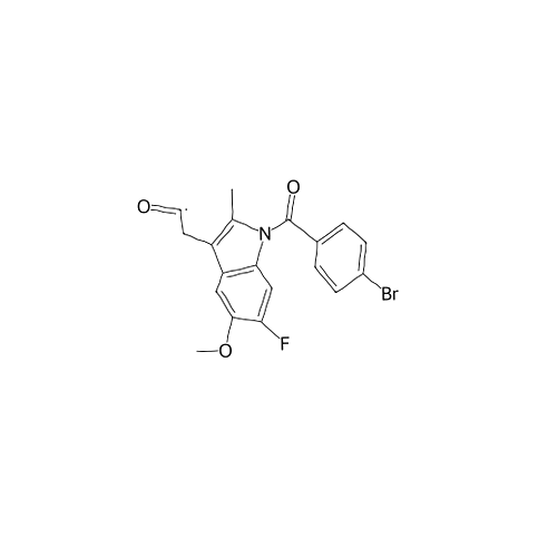 COc1cc2c(C[C]=O)c(C)n(C(=O)c3ccc(Br)cc3)c2cc1F